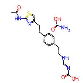 CC(=O)Nc1nc(CCc2ccc(CCNC=NC(=O)O)cc2)cs1.NC(=O)O